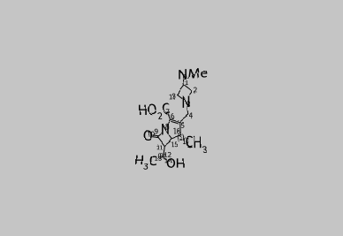 CNC1CN(CC2=C(C(=O)O)N3C(=O)C([C@@H](C)O)C3[C@H]2C)C1